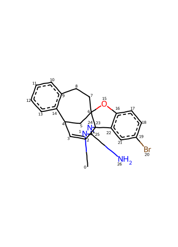 CN1C2=CC3CC4(CCc5ccccc53)Oc3ccc(Br)cc3C24N=C1N